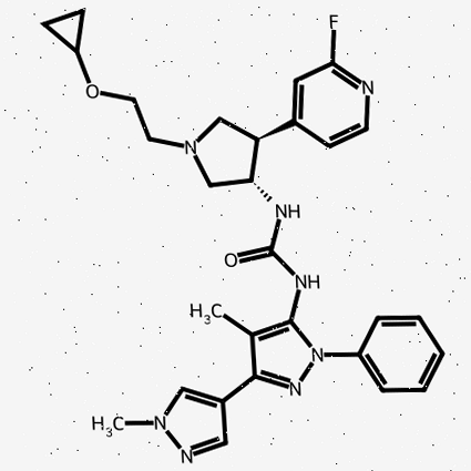 Cc1c(-c2cnn(C)c2)nn(-c2ccccc2)c1NC(=O)N[C@@H]1CN(CCOC2CC2)C[C@H]1c1ccnc(F)c1